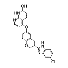 OC1CCc2c(Oc3ccc4c(c3)CC(c3nc5cc(Cl)ccc5[nH]3)CO4)ccnc2N1